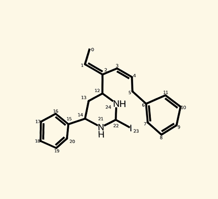 C/C=C(\C=C/Cc1ccccc1)C1CC(c2ccccc2)NC(I)N1